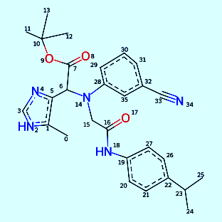 Cc1[nH]cnc1C(C(=O)OC(C)(C)C)N(CC(=O)Nc1ccc(C(C)C)cc1)c1cccc(C#N)c1